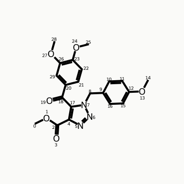 COC(=O)c1nnn(Cc2ccc(OC)cc2)c1C(=O)c1ccc(OC)c(OC)c1